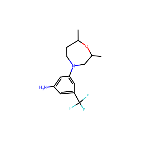 CC1CCN(c2cc(N)cc(C(F)(F)F)c2)CC(C)O1